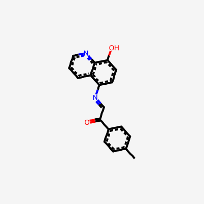 Cc1ccc(C(=O)/C=N/c2ccc(O)c3ncccc23)cc1